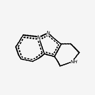 c1ccn2nc3c(c2c1)CNCC3